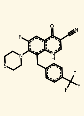 N#Cc1c[nH]c2c(Cc3ccc(C(F)(F)F)cc3)c(N3CCSCC3)c(F)cc2c1=O